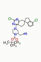 CC(C)(C)OC(=O)N1CCN(c2nc(Cl)nc3c2CCC2(CCc4c(Cl)cccc42)C3)CC1CC#N